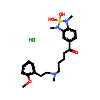 COc1ccccc1CCN(C)CCCCC(=O)c1ccc2c(c1)N(C)S(O)(O)N2C.Cl